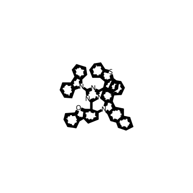 c1ccc2cc3c(cc2c1)c1c2ccccc2ccc1n3-c1ccc2c(oc3ccccc32)c1-c1nc(-c2cccc3sc4ccccc4c23)nc(-n2c3ccccc3c3ccccc32)n1